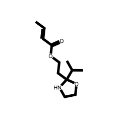 CC=CC(=O)OCCC1(C(C)C)NCCO1